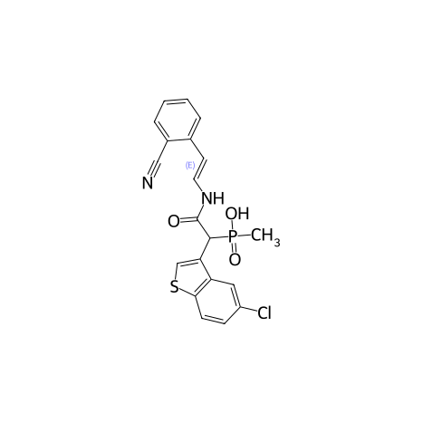 CP(=O)(O)C(C(=O)N/C=C/c1ccccc1C#N)c1csc2ccc(Cl)cc12